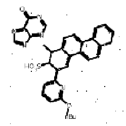 CCCCOc1cccc(C2C=c3c(ccc4c5c(ccc34)CC=CC=5)C(C)C2S(=O)(=O)O)n1.O=C1N=CN=C2N=CN=C12